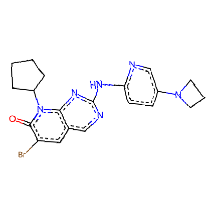 O=c1c(Br)cc2cnc(Nc3ccc(N4CCC4)cn3)nc2n1C1CCCC1